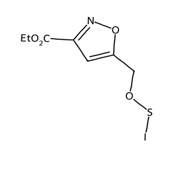 CCOC(=O)c1cc(COSI)on1